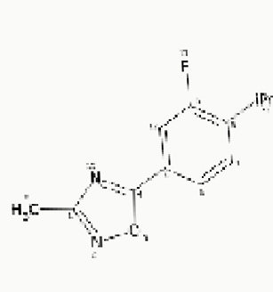 Cc1noc(-c2ccc(C(C)C)c(F)c2)n1